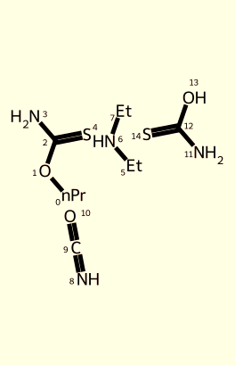 CCCOC(N)=S.CCNCC.N=C=O.NC(O)=S